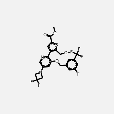 COC(=O)c1cc(-c2ncc(N3CC(F)(F)C3)cc2OCc2cc(F)cc(C(F)(F)F)c2)c(CO)s1